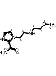 CC(C)(C)OCCNCCn1c[c]nc1C(N)=O